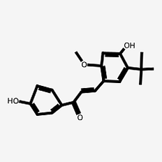 COc1cc(O)c(C(C)(C)C)cc1C=CC(=O)c1ccc(O)cc1